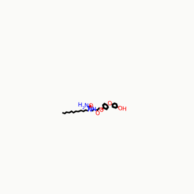 CCCCCCCCCCCCN(CNC(=O)COc1ccc(Oc2ccc(O)cc2)cc1)C(N)=O